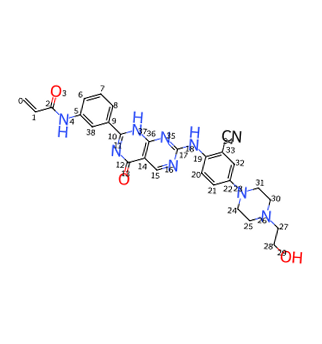 C=CC(=O)Nc1cccc(-c2nc(=O)c3cnc(Nc4ccc(N5CCN(CCO)CC5)cc4C#N)nc3[nH]2)c1